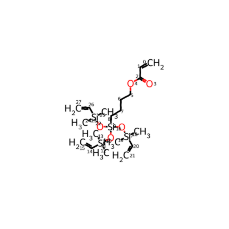 C=CC(=O)OCCCC[Si](O[Si](C)(C)C=C)(O[Si](C)(C)C=C)O[Si](C)(C)C=C